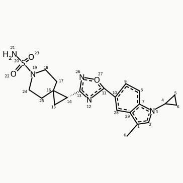 Cc1cn(C2CC2)c2ccc(-c3nc([C@@H]4CC45CCN(S(N)(=O)=O)CC5)no3)cc12